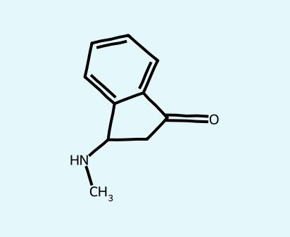 CNC1CC(=O)c2ccccc21